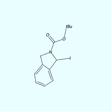 CC(C)(C)OC(=O)N1Cc2ccccc2C1I